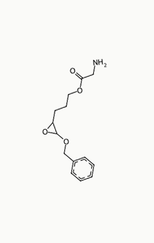 NCC(=O)OCCCC1OC1OCc1ccccc1